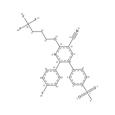 CS(=O)(=O)c1ccc(-c2cc(C#N)c(OCCCC(F)(F)F)nc2-c2ccc(F)cc2)cc1